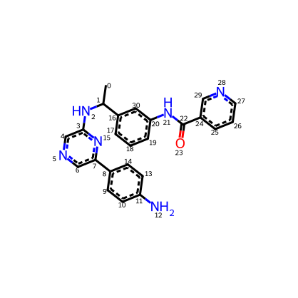 CC(Nc1cncc(-c2ccc(N)cc2)n1)c1cccc(NC(=O)c2cccnc2)c1